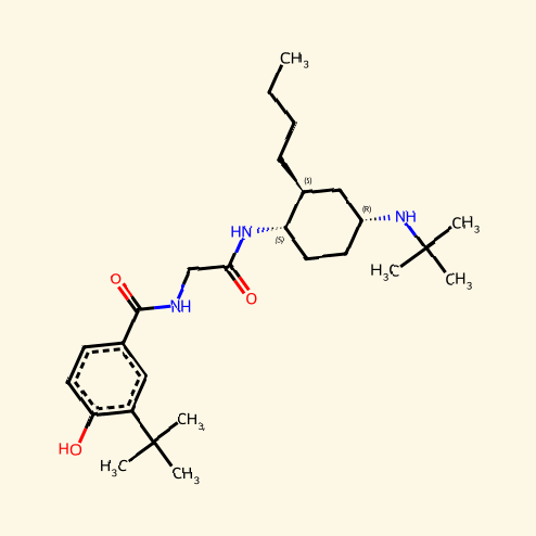 CCCC[C@H]1C[C@H](NC(C)(C)C)CC[C@@H]1NC(=O)CNC(=O)c1ccc(O)c(C(C)(C)C)c1